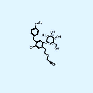 C#CCOCCc1cc(Cl)c(Cc2ccc(OCC)cc2)cc1[C@@H]1O[C@H](CO)[C@@H](O)[C@H](O)[C@H]1O